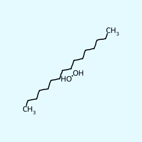 CCCCCCCCCCCCCCCC.OO